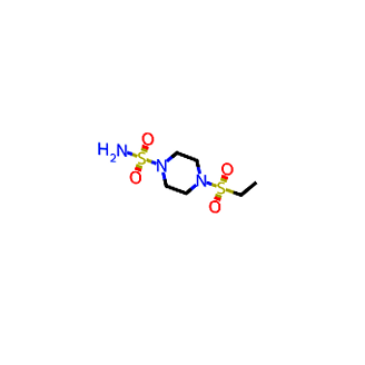 CCS(=O)(=O)N1CCN(S(N)(=O)=O)CC1